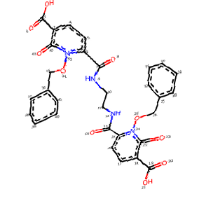 O=C(O)c1ccc(C(=O)NCCNC(=O)c2ccc(C(=O)O)c(=O)n2OCc2ccccc2)n(OCc2ccccc2)c1=O